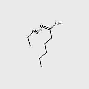 CCCCCC(=O)O.C[CH2][Mg+2]